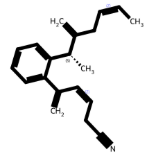 C=C(/C=C\CC#N)c1ccccc1[C@@H](C)C(=C)C/C=C\C